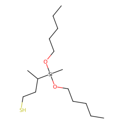 CCCCCO[Si](C)(OCCCCC)C(C)CCS